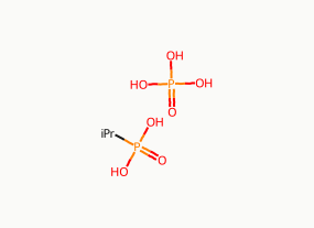 CC(C)P(=O)(O)O.O=P(O)(O)O